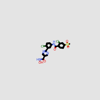 CS(=O)(=O)c1ccc(C(=O)Nc2ccc(Cl)c(-c3ncc(C(=O)NO)cn3)c2)c(Cl)c1